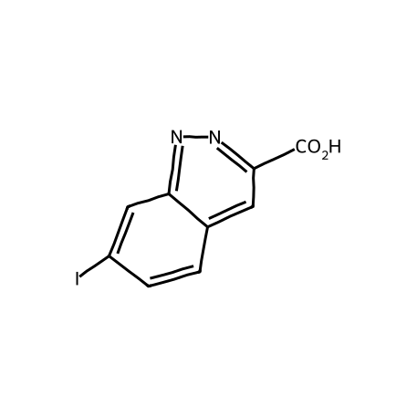 O=C(O)c1cc2ccc(I)cc2nn1